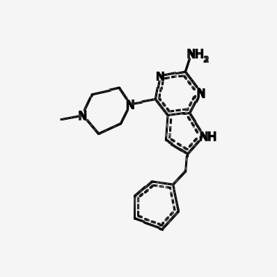 CN1CCN(c2nc(N)nc3[nH]c(Cc4ccccc4)cc23)CC1